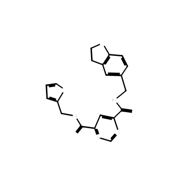 O=C(NCc1ccc2c(c1)CCO2)c1cc(C(=O)NCc2cccs2)ncn1